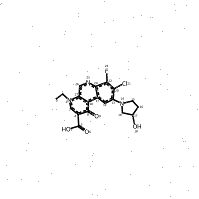 CCn1cc(C(=O)O)c(=O)c2c3cc(N4CCC(O)C4)c(Cl)c(F)c3ncc21